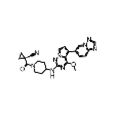 COc1nc(NC2CCN(C(=O)C3(C#N)CC3)CC2)nn2ccc(-c3ccc4ncnn4c3)c12